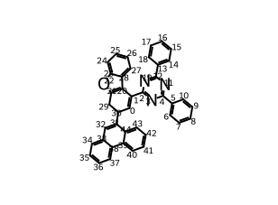 C1=C(c2nc(-c3ccccc3)nc(-c3ccccc3)n2)c2c(oc3ccccc23)CC1c1cc2ccccc2c2ccccc12